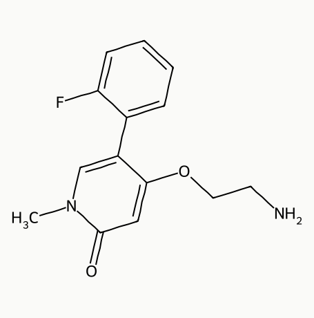 Cn1cc(-c2ccccc2F)c(OCCN)cc1=O